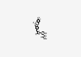 CC(C)(C)NC(=O)[C@@H]1CN(C2=NC(=O)/C(=C/c3ccc4c(cnn4Cc4ccc(C(F)(F)F)cc4C(F)(F)F)c3)S2)CCN1